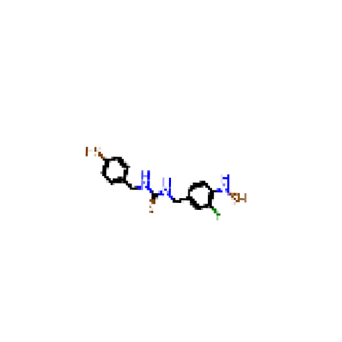 Fc1cc(CNC(=S)NCc2ccc(S)cc2)ccc1NS